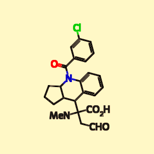 CNC(CC=O)(C(=O)O)C1c2ccccc2N(C(=O)c2cccc(Cl)c2)C2CCCC21